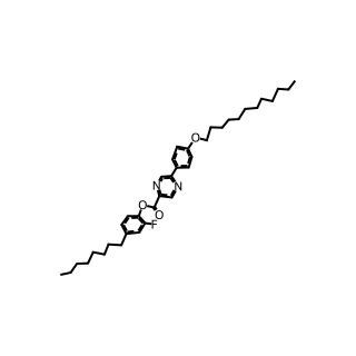 CCCCCCCCCCCCOc1ccc(-c2cnc(C(=O)Oc3ccc(CCCCCCCC)cc3F)cn2)cc1